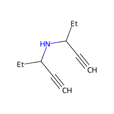 C#CC(CC)NC(C#C)CC